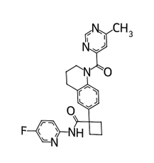 Cc1cc(C(=O)N2CCCc3cc(C4(C(=O)Nc5ccc(F)cn5)CCC4)ccc32)ncn1